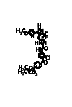 COc1ccc(-c2[nH]nc(C(F)(F)F)c2Cc2cnc(C(=O)Nc3ccc(C(=O)N4CCN(C(=O)OC(C)(C)C)CC4)c(Cl)c3)[nH]2)nc1